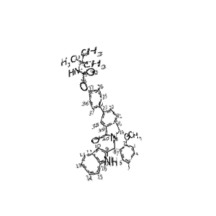 COc1ccccc1[C@H](c1cc2ccccc2[nH]1)N1Cc2ccc(-c3ccc(OC(=O)NC(C)(C)C)cc3)cc2C1=O